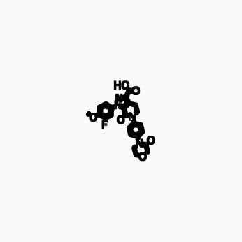 COc1ccc(-n2nc(C(=O)O)c3c2C(=O)N(c2ccc(N4CCOCC4=O)cc2)CC3)cc1F